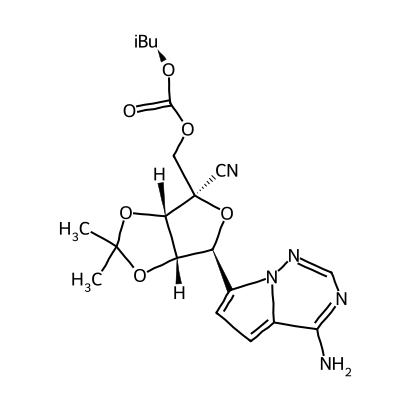 CC[C@H](C)OC(=O)OC[C@@]1(C#N)O[C@@H](c2ccc3c(N)ncnn23)[C@@H]2OC(C)(C)O[C@@H]21